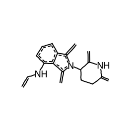 C=CNc1cccc2c(=C)n(C3CCC(=C)NC3=C)c(=C)c12